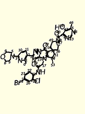 Cc1nc(N2CCOCC2)ccc1-c1nc2n(CC(=O)Nc3ccc(Br)cc3Cl)c3c(c(=O)n2n1)C1(CCN(C(=O)c2ncnc(C)c2O)CC1)C[C@H]3C